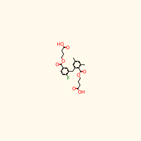 Cc1cc(C)c(C(=O)OCCCC(=O)O)c(Cc2cc(C(=O)OCCCC(=O)O)ccc2F)c1